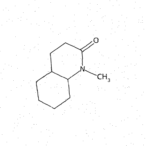 CN1C(=O)CCC2CCCCC21